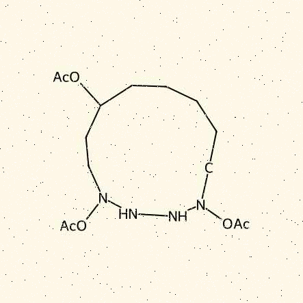 CC(=O)OC1CCCCCN(OC(C)=O)NNN(OC(C)=O)CC1